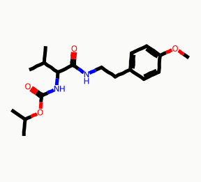 COc1ccc(CCNC(=O)C(NC(=O)OC(C)C)C(C)C)cc1